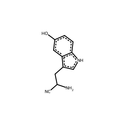 N#CC(N)Cc1c[nH]c2ccc(O)cc12